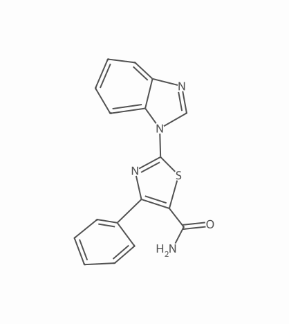 NC(=O)c1sc(-n2cnc3ccccc32)nc1-c1ccccc1